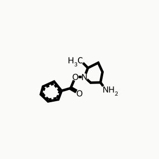 CC1CCC(N)CN1OC(=O)c1ccccc1